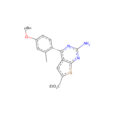 CCCCOc1ccc(-c2nc(N)nc3sc(C(=O)OCC)cc23)c(C)c1